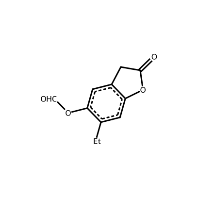 CCc1cc2c(cc1OC=O)CC(=O)O2